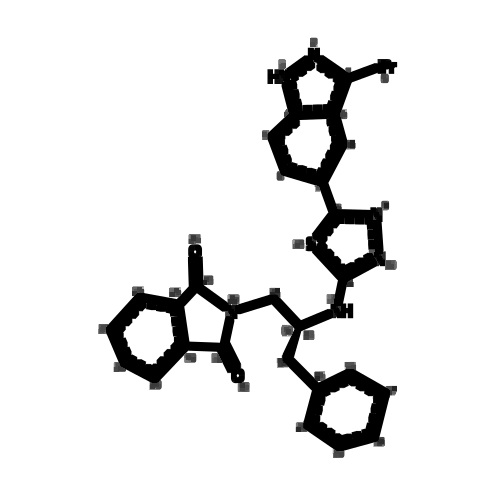 CC(C)c1n[nH]c2ccc(-c3nnc(N[C@@H](Cc4ccccc4)CN4C(=O)c5ccccc5C4=O)s3)cc12